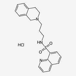 Cl.O=S(=O)(NCCCN1CCc2ccccc2C1)c1cccc2cccnc12